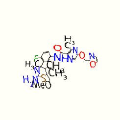 COC[C@@]1(C)SC(N)=N[C@](C)(c2cc(NC(=O)c3ncc(OCc4ncco4)nc3C)ccc2F)[C@@H]1C